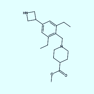 CCc1cc(C2CNC2)cc(CC)c1CN1CCC(C(=O)OC)CC1